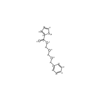 O=C(OCOCOCc1ccccc1)c1nccs1